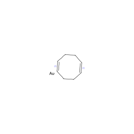 C1=C\CC/C=C\CC/1.[Au]